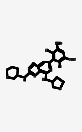 COc1cc(OC)c(Cl)c(-c2cc3cnc(NC4CCCOC4)nc3c(NC3CCOC3)n2)c1Cl